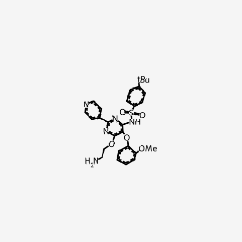 COc1ccccc1Oc1c(NS(=O)(=O)c2ccc(C(C)(C)C)cc2)nc(-c2ccncc2)nc1OCCN